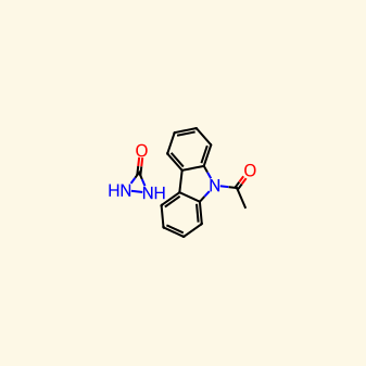 CC(=O)n1c2ccccc2c2ccccc21.O=C1NN1